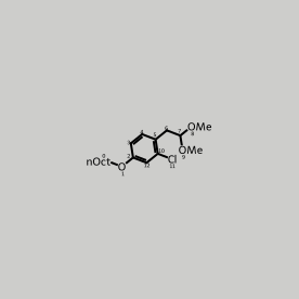 CCCCCCCCOc1ccc(CC(OC)OC)c(Cl)c1